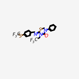 O=C1N(CC(F)(F)F)/C(=N/Cc2ccc(SC(F)(F)F)cc2)SCN1c1ccccc1